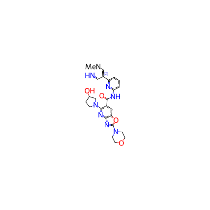 CN/C=C(\C=N)c1cccc(NC(=O)c2cc3oc(N4CCOCC4)nc3nc2N2CCC(O)C2)n1